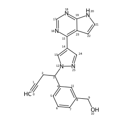 C#CCC(c1cccc(CO)c1)n1cc(-c2ncnc3[nH]ccc23)cn1